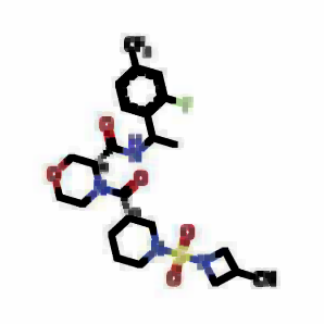 CC(NC(=O)[C@H]1COCCN1C(=O)[C@H]1CCCN(S(=O)(=O)N2CC(C#N)C2)C1)c1ccc(C(F)(F)F)cc1F